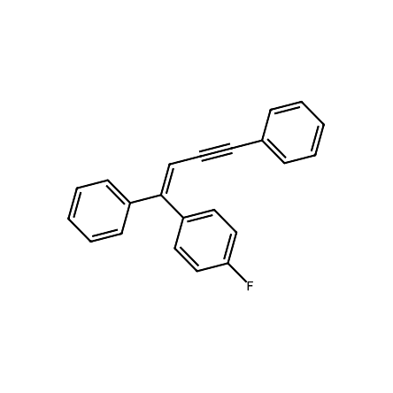 Fc1ccc(/C(=C\C#Cc2ccccc2)c2ccccc2)cc1